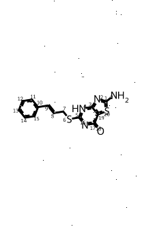 Nc1nc2[nH]c(SCC=Cc3ccccc3)nc(=O)c2s1